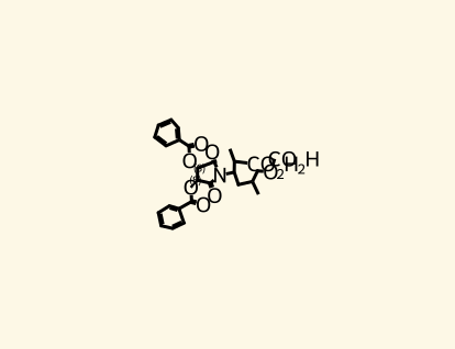 CC(COC(=O)O)CC(C(C)C(=O)O)N1C(=O)[C@@H](OC(=O)c2ccccc2)[C@H](OC(=O)c2ccccc2)C1=O